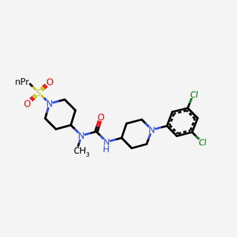 CCCS(=O)(=O)N1CCC(N(C)C(=O)NC2CCN(c3cc(Cl)cc(Cl)c3)CC2)CC1